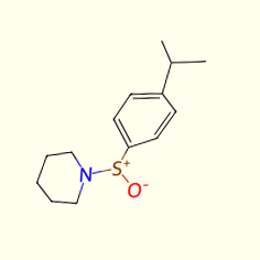 CC(C)c1ccc([S+]([O-])N2CCCCC2)cc1